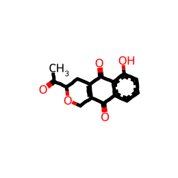 CC(=O)C1CC2=C(CO1)C(=O)c1cccc(O)c1C2=O